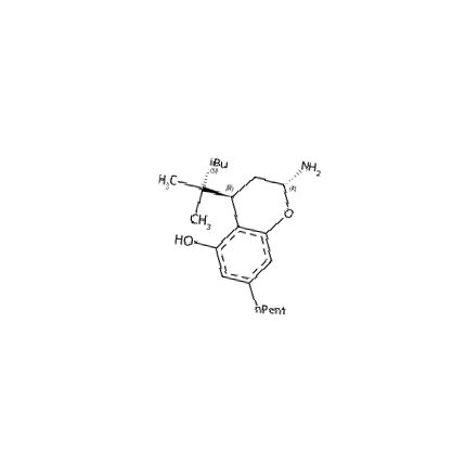 CCCCCc1cc(O)c2c(c1)O[C@@H](N)C[C@@H]2C(C)(C)[C@@H](C)CC